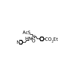 CCOC(=O)c1ccc(CCN(CCSC(C)=O)C(=O)NCCCc2ccncc2)cc1